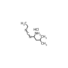 CCN=C=NC(N)CC(C)C.Cl